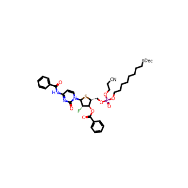 CCCCCCCCCCCCCCCCCCOP(=O)(OCCC#N)OC[C@H]1SC(n2ccc(NC(=O)c3ccccc3)nc2=O)[C@@H](F)[C@@H]1OC(=O)c1ccccc1